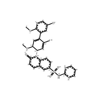 COc1ncc(Cl)cc1C1=CC(OC)[C@@H](n2c(=O)ccc3cc(S(=O)(=O)Nc4ncccn4)ccc32)C=C1F